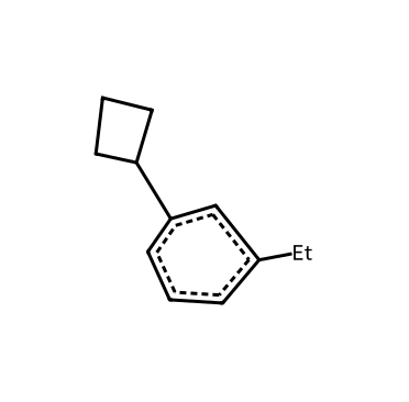 [CH2]Cc1cccc(C2CCC2)c1